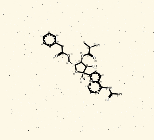 CC(C)C(=O)Nc1ncnn2c([C@]3(C#N)O[C@H](COC(=O)Cc4ccccc4)[C@@H](OC(=O)[C@@H](C)C(C)C)[C@H]3O)ccc12